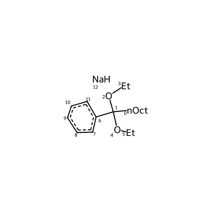 CCCCCCCCC(OCC)(OCC)c1ccccc1.[NaH]